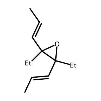 CC=CC1(CC)OC1(C=CC)CC